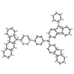 C1=C(c2ccc(N(c3ccc4c(c3)sc3ccccc34)c3ccc4c(c3)c3ccccc3n4-c3ccccc3)cc2)CCC(n2c3ccccc3c3cc4ccccc4cc32)=C1